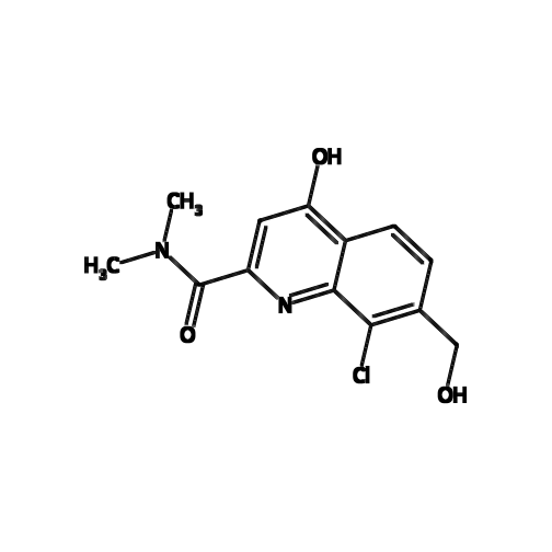 CN(C)C(=O)c1cc(O)c2ccc(CO)c(Cl)c2n1